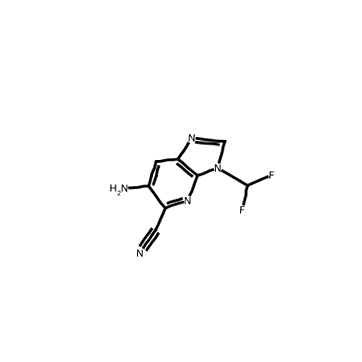 N#Cc1nc2c(cc1N)ncn2C(F)F